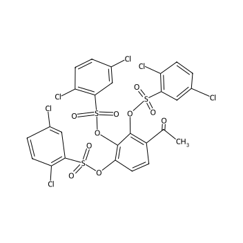 CC(=O)c1ccc(OS(=O)(=O)c2cc(Cl)ccc2Cl)c(OS(=O)(=O)c2cc(Cl)ccc2Cl)c1OS(=O)(=O)c1cc(Cl)ccc1Cl